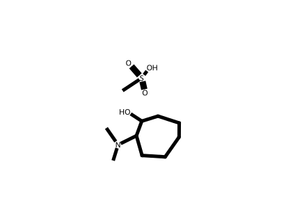 CN(C)C1CCCCCC1O.CS(=O)(=O)O